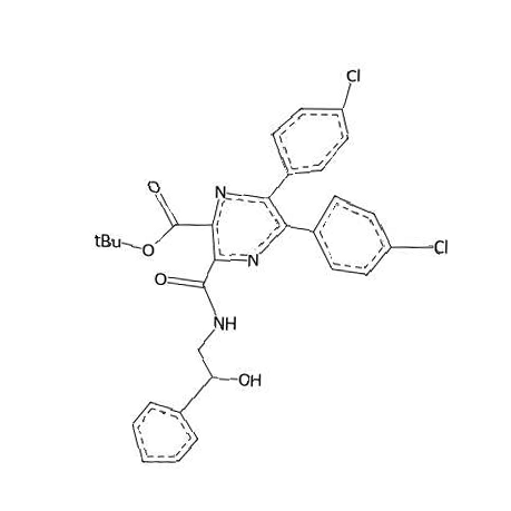 CC(C)(C)OC(=O)c1nc(-c2ccc(Cl)cc2)c(-c2ccc(Cl)cc2)nc1C(=O)NCC(O)c1ccccc1